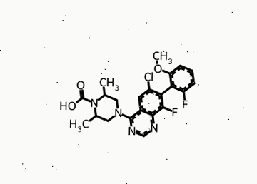 COc1cccc(F)c1-c1c(Cl)cc2c(N3CC(C)N(C(=O)O)C(C)C3)ncnc2c1F